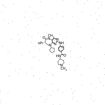 CCC[C@H]1CN(C2CCCC2)c2nc(Nc3ccc(C(=O)NC4CCN(C)CC4)cn3)ncc2N(C)C1=O